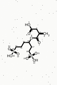 C=C(CC(=O)O)C(=O)OC(CCCS(=O)(=O)O)CCS(=O)(=O)O